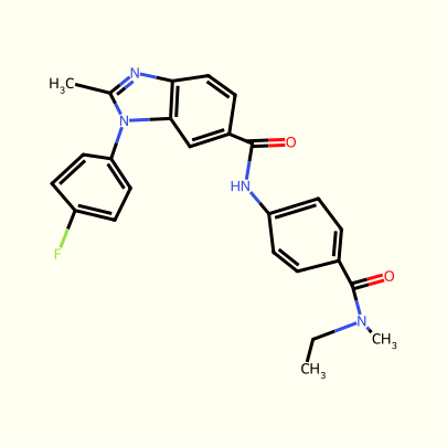 CCN(C)C(=O)c1ccc(NC(=O)c2ccc3nc(C)n(-c4ccc(F)cc4)c3c2)cc1